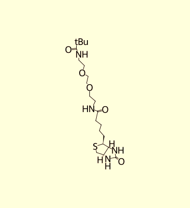 CC(C)(C)C(=O)NCCOCCOCCNC(=O)CCCC[C@@H]1SC[C@@H]2NC(=O)N[C@@H]21